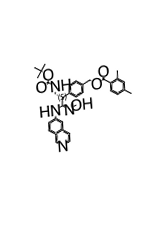 Cc1ccc(C(=O)OCc2ccc([C@@H](CNC(=O)OC(C)(C)C)C(=NO)Nc3ccc4cnccc4c3)cc2)c(C)c1